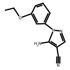 CCOc1cccc(-n2ncc(C#N)c2N)c1